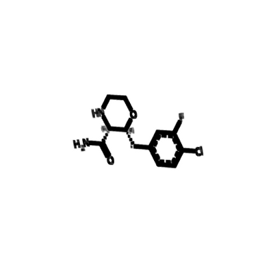 NC(=O)[C@@H]1NCCO[C@@H]1[CH]c1ccc(Cl)c(F)c1